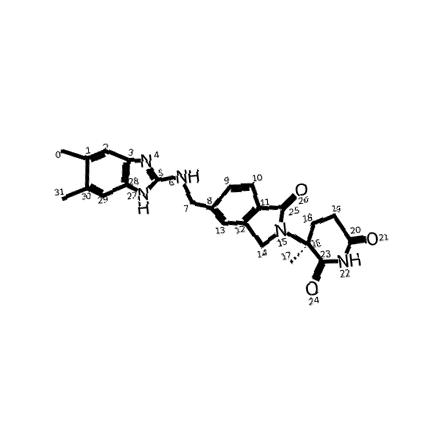 Cc1cc2nc(NCc3ccc4c(c3)CN([C@@]3(C)CCC(=O)NC3=O)C4=O)[nH]c2cc1C